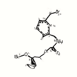 CC(C)(C)OC(=O)COC(=O)Nc1cccc(CBr)n1